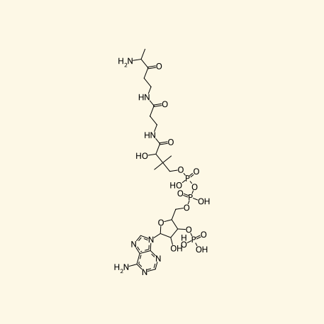 CC(N)C(=O)CCNC(=O)CCNC(=O)C(O)C(C)(C)COP(=O)(O)OP(=O)(O)OCC1OC(n2cnc3c(N)ncnc32)C(O)C1OP(=O)(O)O